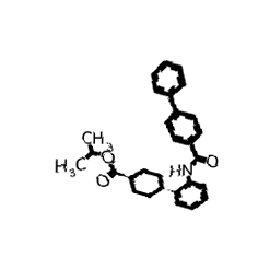 CC(C)OC(=O)[C@H]1CC[C@H](c2ccccc2NC(=O)c2ccc(-c3ccccc3)cc2)CC1